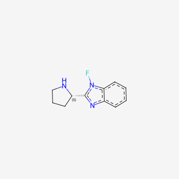 Fn1c([C@@H]2CCCN2)nc2ccccc21